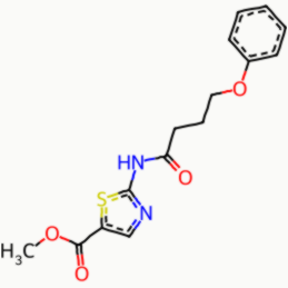 COC(=O)c1cnc(NC(=O)CCCOc2ccccc2)s1